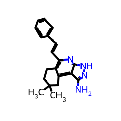 CC1(C)CCc2c(/C=C/c3ccccc3)nc3[nH]nc(N)c3c2C1